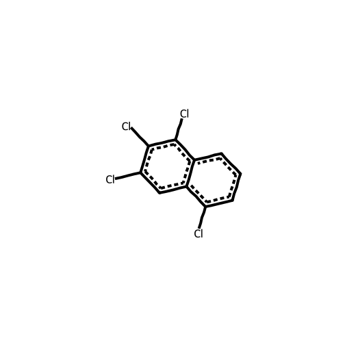 Clc1cc2c(Cl)cccc2c(Cl)c1Cl